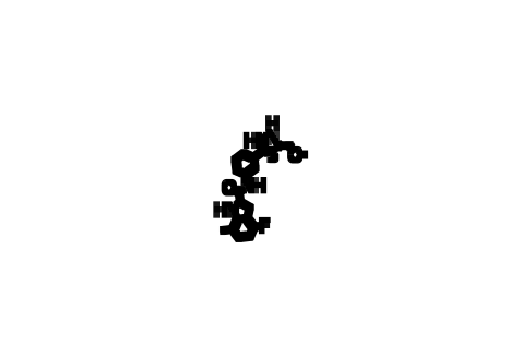 COCC1NNC(c2cccc(NC(=O)C3Cc4c(F)ccc(C)c4N3)c2)S1